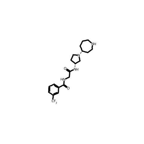 O=C(CNC(=O)c1cccc(C(F)(F)F)c1)N[C@@H]1CCN([C@@H]2CCCNCC2)C1